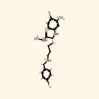 Cc1cc(N[C@H](CCCCNCc2ccc(F)cc2)C(=O)NO)ccc1F